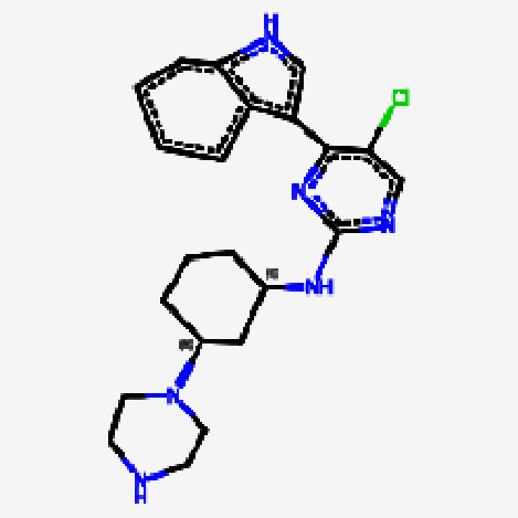 Clc1cnc(N[C@@H]2CCC[C@H](N3CCNCC3)C2)nc1-c1c[nH]c2ccccc12